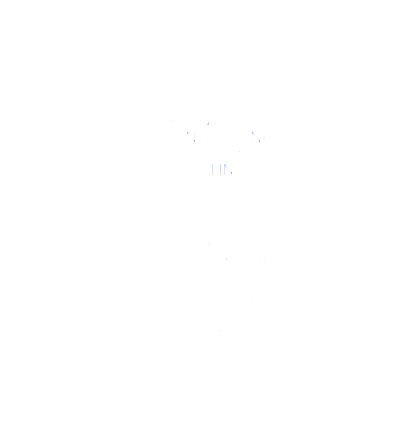 C=CCNc1cccnc1NCc1ccc(-c2ccccc2)cc1